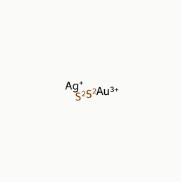 [Ag+].[Au+3].[S-2].[S-2]